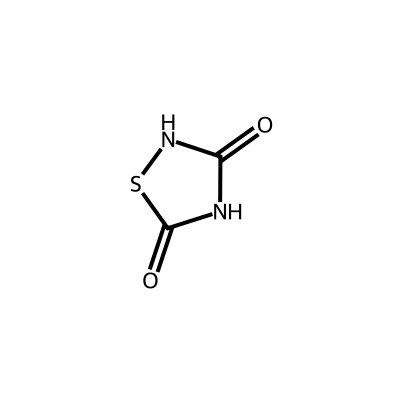 O=c1[nH]sc(=O)[nH]1